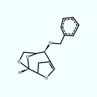 C1=C2CC(O1)[C@@H]1OCC(O1)[C@H]2OCc1ccccc1